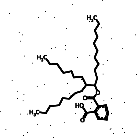 CCCCCCCCCCC(OC(=O)c1ccccc1C(=O)O)C(CCCCCCC)CCCCCCCC